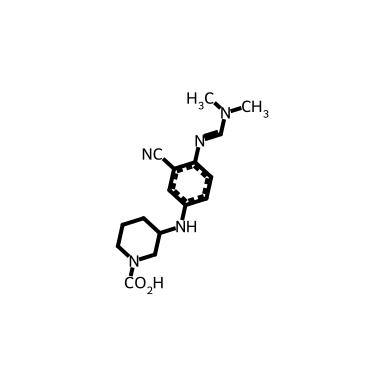 CN(C)/C=N/c1ccc(NC2CCCN(C(=O)O)C2)cc1C#N